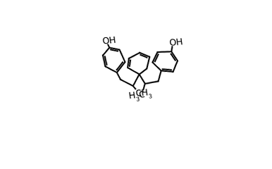 CC(Cc1ccc(O)cc1)C1(C(C)Cc2ccc(O)cc2)C=CC=CC1